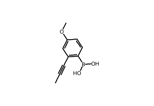 CC#Cc1cc(OC)ccc1B(O)O